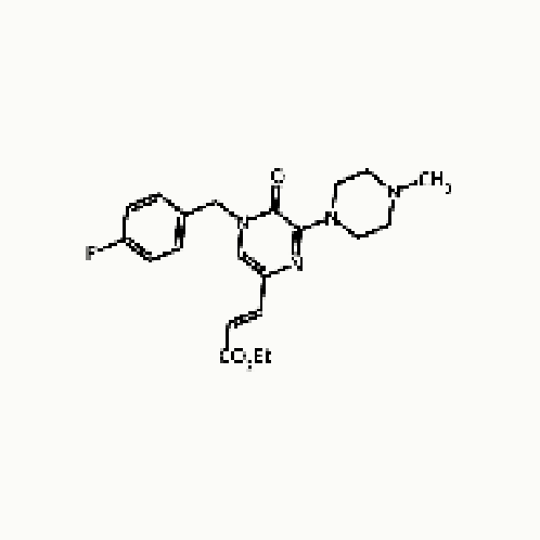 CCOC(=O)/C=C/c1cn(Cc2ccc(F)cc2)c(=O)c(N2CCN(C)CC2)n1